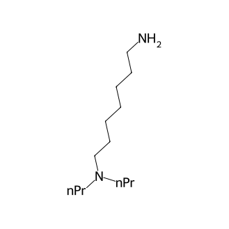 CCCN(CCC)CCCCCCCN